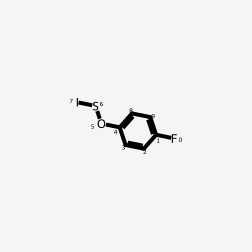 Fc1ccc(OSI)cc1